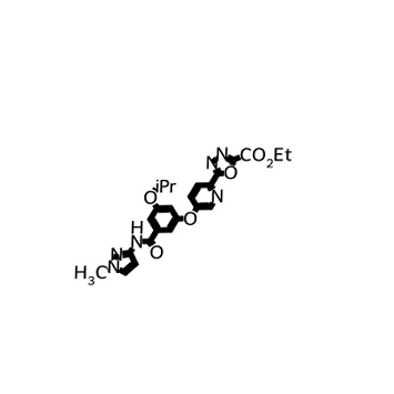 CCOC(=O)c1nnc(-c2ccc(Oc3cc(OC(C)C)cc(C(=O)Nc4ccn(C)n4)c3)cn2)o1